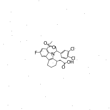 C[C@@H](c1ccc(Cl)c(Cl)c1)n1c2c(c3cc(F)cc(S(C)(=O)=O)c31)CCC[C@@H]2CC(=O)O